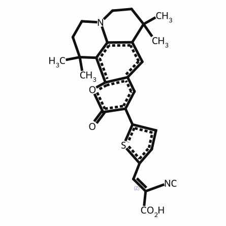 [C-]#[N+]/C(=C\c1ccc(-c2cc3cc4c5c(c3oc2=O)C(C)(C)CCN5CCC4(C)C)s1)C(=O)O